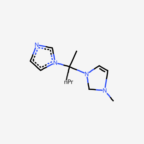 CCCC(C)(N1C=CN(C)C1)n1ccnc1